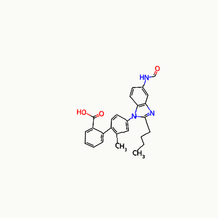 CCCCc1nc2cc(NC=O)ccc2n1-c1ccc(-c2ccccc2C(=O)O)c(C)c1